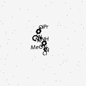 COc1cc(Nc2nc3n(n2)CCCC[C@@H]3c2ccc(OC(C)C)cc2)ccc1-n1cnc(Cl)c1